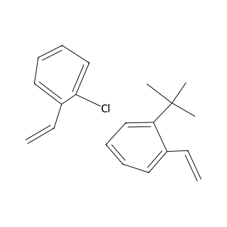 C=Cc1ccccc1C(C)(C)C.C=Cc1ccccc1Cl